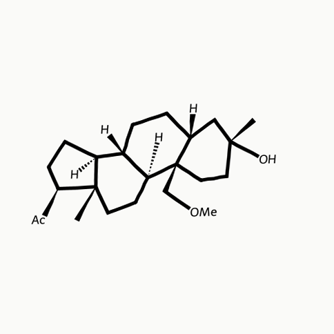 COC[C@]12CC[C@@](C)(O)C[C@H]1CC[C@H]1[C@@H]3CC[C@H](C(C)=O)[C@@]3(C)CC[C@@H]12